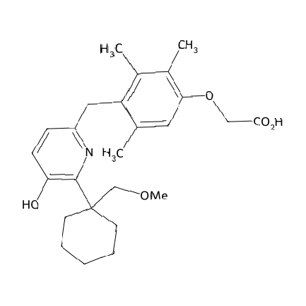 COCC1(c2nc(Cc3c(C)cc(OCC(=O)O)c(C)c3C)ccc2O)CCCCC1